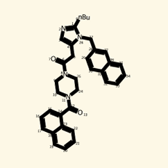 CCCCc1ncc(CC(=O)N2CCN(C(=O)c3cccc4ccccc34)CC2)n1Cc1ccc2ccccc2c1